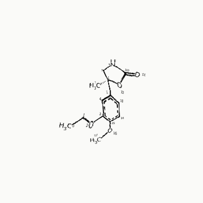 CCOc1cc([C@@]2(C)CNC(=O)O2)ccc1OC